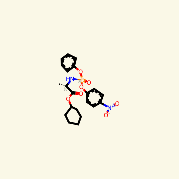 C[C@H](N[P@](=O)(Oc1ccccc1)Oc1ccc([N+](=O)[O-])cc1)C(=O)OC1CCCCC1